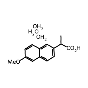 COc1ccc2cc(C(C)C(=O)O)ccc2c1.O.O.O